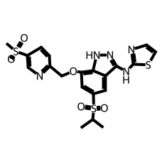 CC(C)S(=O)(=O)c1cc(OCc2ccc(S(C)(=O)=O)cn2)c2[nH]nc(Nc3nccs3)c2c1